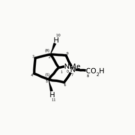 CNC1[C@@H]2CC[C@H]1CN(C(=O)O)C2